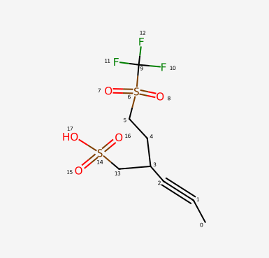 CC#CC(CCS(=O)(=O)C(F)(F)F)CS(=O)(=O)O